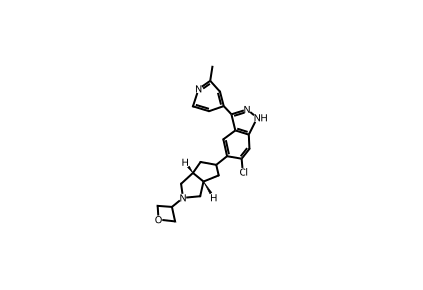 Cc1cc(-c2n[nH]c3cc(Cl)c(C4C[C@@H]5CN(C6COC6)C[C@@H]5C4)cc23)ccn1